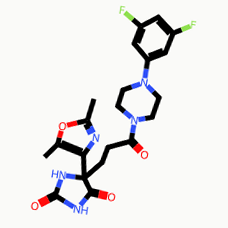 Cc1nc(C2(CCC(=O)N3CCN(c4cc(F)cc(F)c4)CC3)NC(=O)NC2=O)c(C)o1